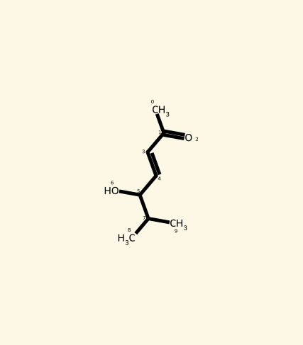 CC(=O)C=CC(O)C(C)C